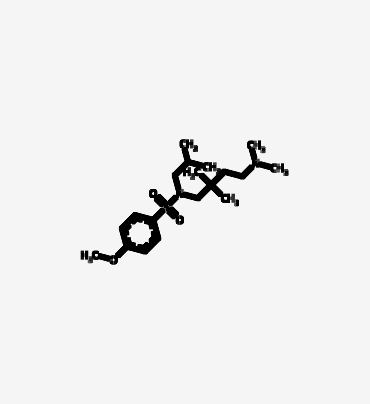 COc1ccc(S(=O)(=O)N(CC(C)C)CC(C)(C)CCN(C)C)cc1